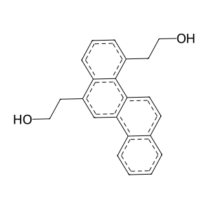 OCCc1cc2c3ccccc3ccc2c2c(CCO)cccc12